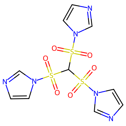 O=S(=O)(C(S(=O)(=O)n1ccnc1)S(=O)(=O)n1ccnc1)n1ccnc1